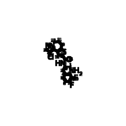 NC[C@H](Cc1ccc(F)c(F)c1)NC(=O)c1cc2c(s1)CCCn1ncc(Cl)c1-2